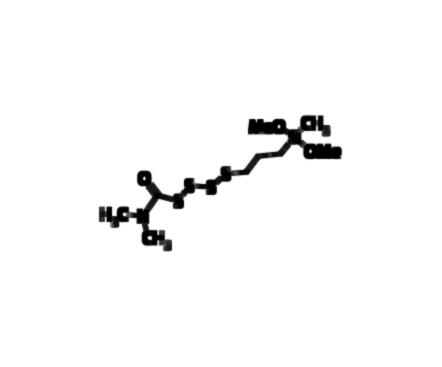 CO[Si](C)(CCCSSSSC(=O)N(C)C)OC